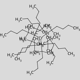 CCCCC(C)(C)[C]([Cr]([C](C(C)(C)CCCC)(C(C)(C)CCCC)C(C)(C)CCCC)[C](C(C)(C)CCCC)(C(C)(C)CCCC)C(C)(C)CCCC)(C(C)(C)CCCC)C(C)(C)CCCC